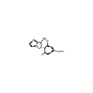 COc1cc(F)c([C@@H]2Cn3ccnc3[C@H]2N)c(F)c1